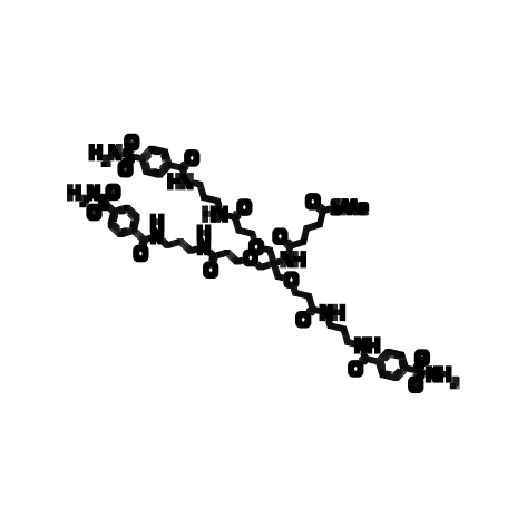 CSC(=O)CCCC(=O)NC(COCCC(=O)NCCCNC(=O)c1ccc(S(N)(=O)=O)cc1)(COCCC(=O)NCCCNC(=O)c1ccc(S(N)(=O)=O)cc1)COCCC(=O)NCCCNC(=O)c1ccc(S(N)(=O)=O)cc1